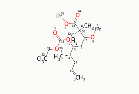 C=CCC(C)C(CC(OC(C)C)C(C)(C)C(=O)OC(C)C)OC(=O)OCC(Cl)(Cl)Cl